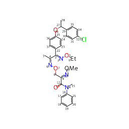 CCON=C(C(C)=NOCC(=NOC)C(=O)N(C)c1ccccc1)c1ccc(OC(C)c2ccc(Cl)cc2)cc1